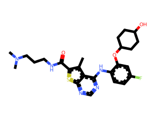 Cc1c(C(=O)NCCCN(C)C)sc2ncnc(Nc3ccc(F)cc3OC3CCC(O)CC3)c12